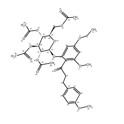 CCOc1cc(OC)c(C(=O)CCc2ccc(OC)cc2)c(O[C@@H]2O[C@H](COC(C)=O)[C@@H](OC(C)=O)[C@H](OC(C)=O)[C@H]2OC(C)=O)c1